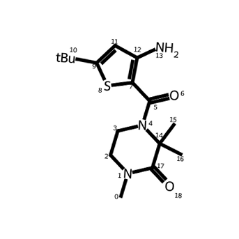 CN1CCN(C(=O)c2sc(C(C)(C)C)cc2N)C(C)(C)C1=O